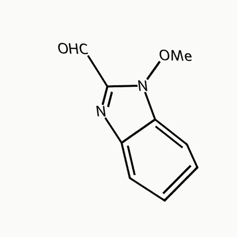 COn1c(C=O)nc2ccccc21